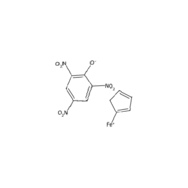 O=[N+]([O-])c1cc([N+](=O)[O-])c([O-])c([N+](=O)[O-])c1.[Fe+][C]1=CC=CC1